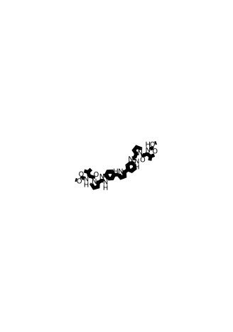 COC(=O)NC(C(=O)N1CCCC1c1nc2cc(-c3ccc(-c4ccc5nc(C6CCCN6C(=O)C(NC(=O)OC)C(C)C)[nH]c5c4)[nH]3)ccc2[nH]1)C(C)C